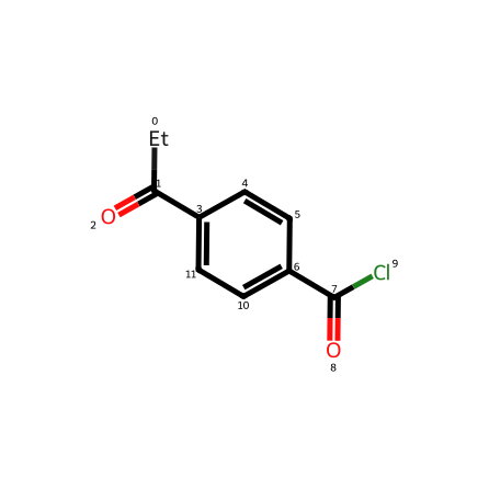 CCC(=O)c1ccc(C(=O)Cl)cc1